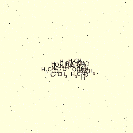 CCC[C@H](NC(=O)[C@@H]1CC[C@H]2CN(C(=O)[C@@H](NC(=O)[C@@H](NC(=O)[C@@H](C)NS(C)(=O)=O)C3CCCCC3)C(C)(C)C)C[C@H]21)C(=O)C(=O)N[C@@H](C)c1ccccc1